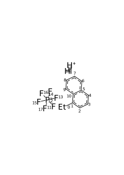 CCc1cccc2ccccc12.F[P-](F)(F)(F)(F)F.I.[H+]